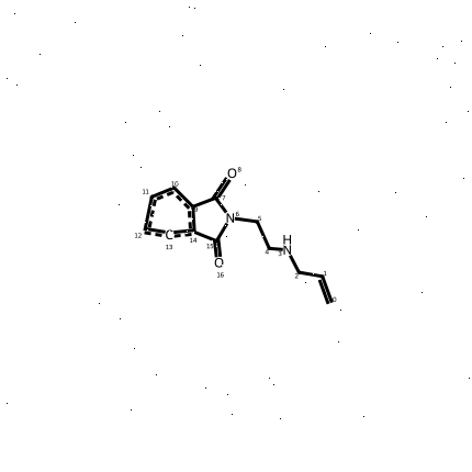 C=CCNCCN1C(=O)c2ccccc2C1=O